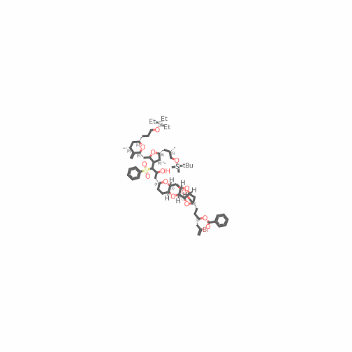 C=C(Br)C[C@H](CC[C@@]12C[C@H]3O[C@H]4C(O1)[C@H]1O[C@@H](CC(O)C(C5C(C[C@H]6O[C@@H](CCCO[Si](CC)(CC)CC)C[C@@H](C)C6=C)O[C@H](C[C@H](C)CO[Si](C)(C)C(C)(C)C)[C@@H]5C)S(=O)(=O)c5ccccc5)CC[C@@H]1O[C@H]4[C@H]3O2)OC(=O)c1ccccc1